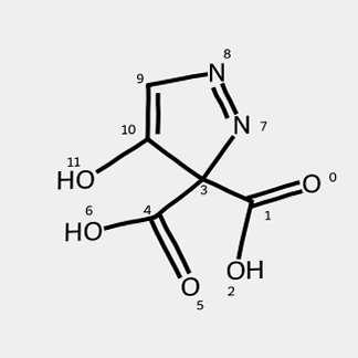 O=C(O)C1(C(=O)O)N=NC=C1O